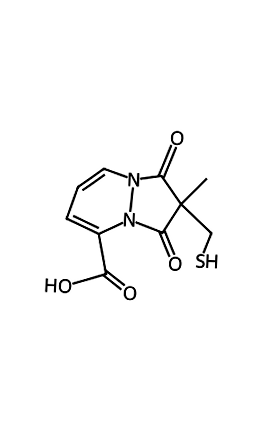 CC1(CS)C(=O)N2C=CC=C(C(=O)O)N2C1=O